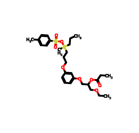 CCCS(C)(CCCOc1cccc(OCC(COCC)OC(=O)CC)c1)OS(=O)(=O)c1ccc(C)cc1